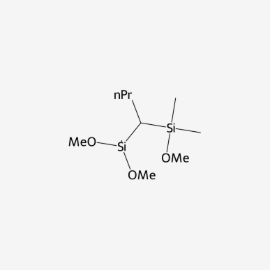 CCCC([Si](OC)OC)[Si](C)(C)OC